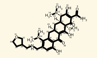 CO[C@@]12C(=O)C(C(N)=O)=C(O)[C@@H](N(C)C)[C@@H]1C[C@@H]1Cc3c(c(O)cc(CNCC4CCOC4)c3N(C)C)C(=O)C1=C2O